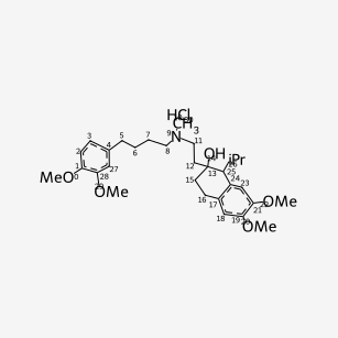 COc1ccc(CCCCN(C)CCC2(O)CCc3cc(OC)c(OC)cc3C2C(C)C)cc1OC.Cl